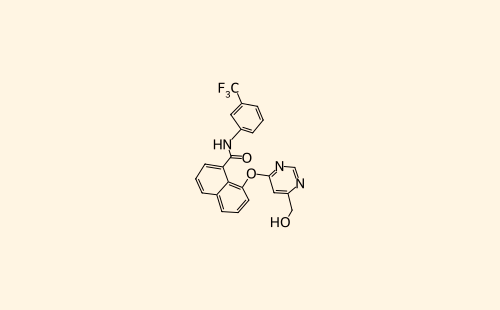 O=C(Nc1cccc(C(F)(F)F)c1)c1cccc2cccc(Oc3cc(CO)ncn3)c12